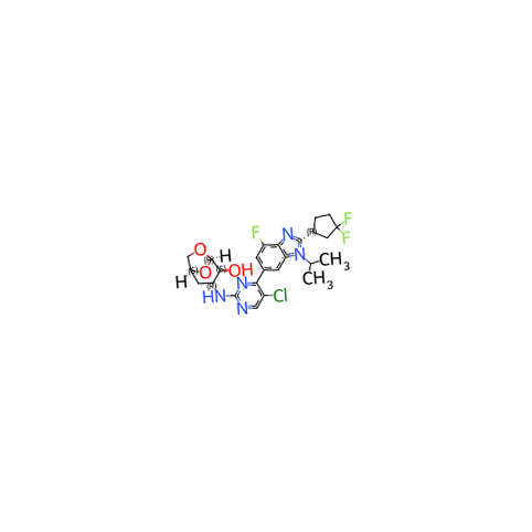 CC(C)n1c([C@@H]2CCC(F)(F)C2)nc2c(F)cc(-c3nc(N[C@@H]4C[C@H]5CO[C@H](O5)[C@H]4O)ncc3Cl)cc21